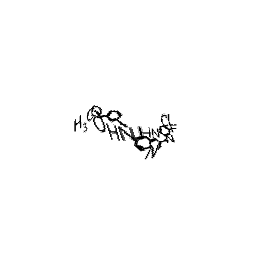 COC(=O)c1cccc(CNc2ccc3ncc(C#N)c(Nc4ccc(F)c(Cl)c4)c3c2)c1